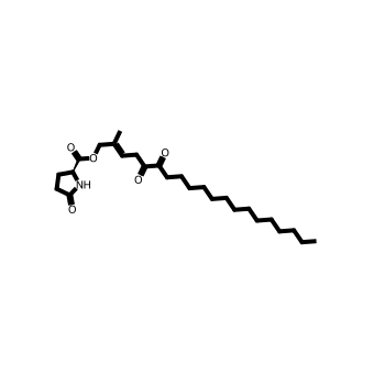 CCCCCCCCCCCCCCC(=O)C(=O)CC=C(C)COC(=O)[C@@H]1CCC(=O)N1